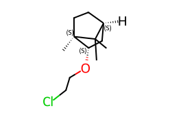 CC1(C)[C@H]2CC[C@]1(C)[C@@H](OCCCl)C2